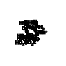 NC(C(=O)N1CC(OC2C[B-](O)(O)Oc3c(C(=O)O)cccc32)C1)c1c[nH]nn1.NC(C(=O)N1CC(OC2C[B-](O)(O)Oc3c(C(=O)O)cccc32)C1)c1c[nH]nn1.[Na+].[Na+]